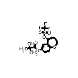 CC(C)(C)C(=O)Oc1ccc2c(c1)C(OS(=O)(=O)C(F)(F)F)=CCCS2